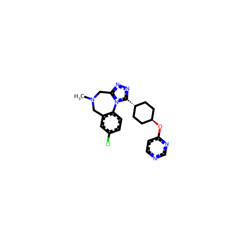 CN1Cc2cc(Cl)ccc2-n2c(nnc2[C@H]2CC[C@H](Oc3ccncn3)CC2)C1